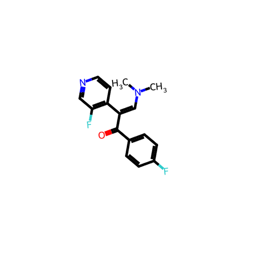 CN(C)C=C(C(=O)c1ccc(F)cc1)c1ccncc1F